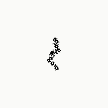 O=C(CC1(C(=O)Nc2nc3cccc(-c4ccc(C(=O)N5CCCC(C(F)(F)F)C5)cc4)n3n2)CC1)Nc1nc2cccc(-c3ccc(OCc4ccccc4)cc3)n2n1